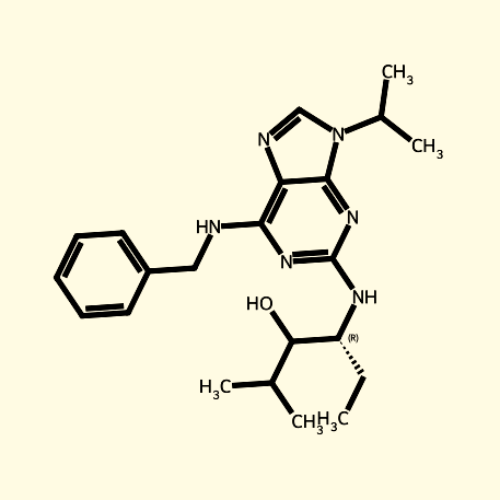 CC[C@@H](Nc1nc(NCc2ccccc2)c2ncn(C(C)C)c2n1)C(O)C(C)C